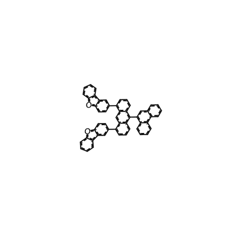 c1ccc2c(c1)cc(-c1c3cccc(-c4ccc5oc6ccccc6c5c4)c3cc3c(-c4ccc5oc6ccccc6c5c4)cccc13)c1ccccc12